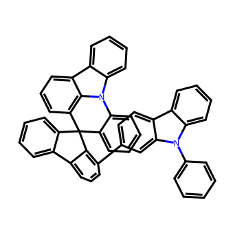 c1ccc(-n2c3ccccc3c3ccc(-c4cccc5c4C4(c6ccccc6-5)c5ccccc5-n5c6ccccc6c6cccc4c65)cc32)cc1